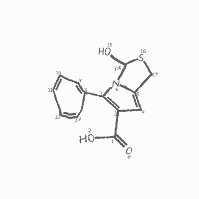 O=C(O)c1cc2n(c1-c1ccccc1)C(O)SC2